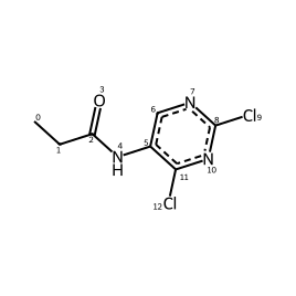 CCC(=O)Nc1cnc(Cl)nc1Cl